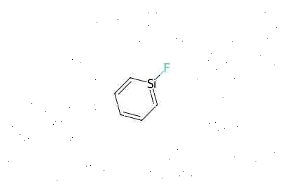 F[si]1ccccc1